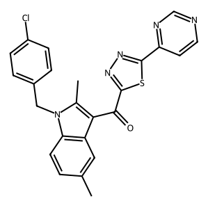 Cc1ccc2c(c1)c(C(=O)c1nnc(-c3ccncn3)s1)c(C)n2Cc1ccc(Cl)cc1